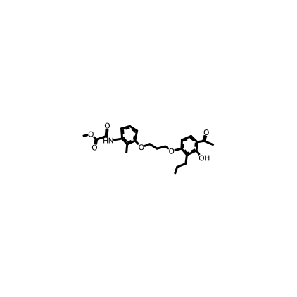 CCCc1c(OCCCOc2cccc(NC(=O)C(=O)OC)c2C)ccc(C(C)=O)c1O